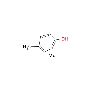 Cc1ccc(O)cc1.[Mo]